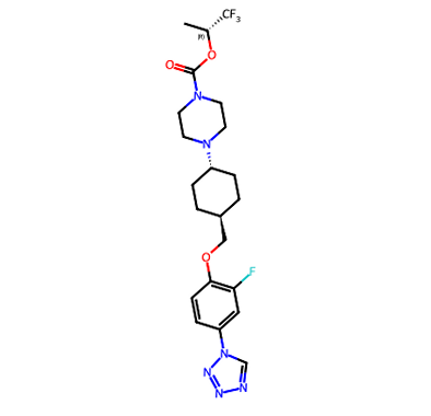 C[C@@H](OC(=O)N1CCN([C@H]2CC[C@H](COc3ccc(-n4cnnn4)cc3F)CC2)CC1)C(F)(F)F